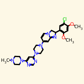 COc1cc(OC)c(C2CN3C=CC(N4CCN(c5cc(N6CCN(C)CC6)ncn5)CC4)=CC3=N2)cc1Cl